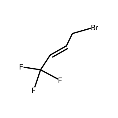 FC(F)(F)/C=C/CBr